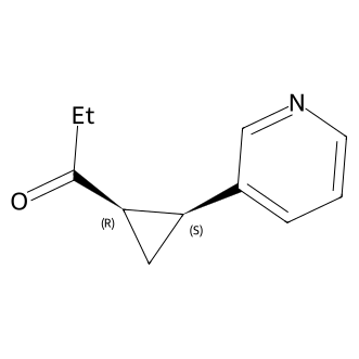 CCC(=O)[C@@H]1C[C@@H]1c1cccnc1